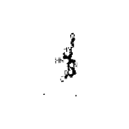 CC(=N)/C(=C\NCCC=O)c1cnc2ccc(Cl)nc2c1